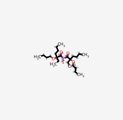 CCCCOC(CC)(CCCC)C(=O)[P](=S)C(=O)C(CC)(CCCC)OCCCC